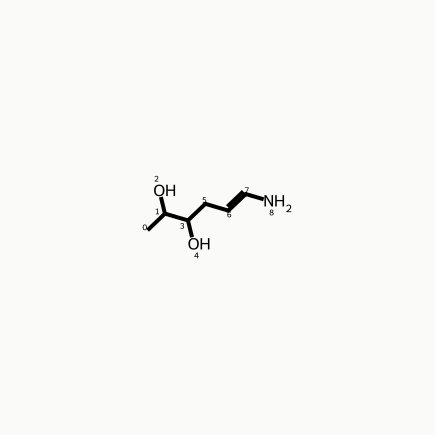 CC(O)C(O)CC=CN